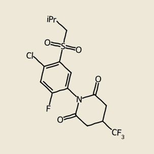 CC(C)CS(=O)(=O)c1cc(N2C(=O)CC(C(F)(F)F)CC2=O)c(F)cc1Cl